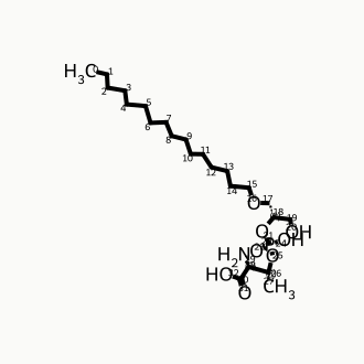 CCCCCCCCCCCCCCCCOC[C@H](CO)OP(=O)(O)O[C@H](C)[C@H](N)C(=O)O